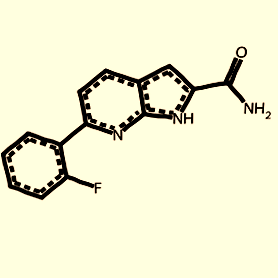 NC(=O)c1cc2ccc(-c3ccccc3F)nc2[nH]1